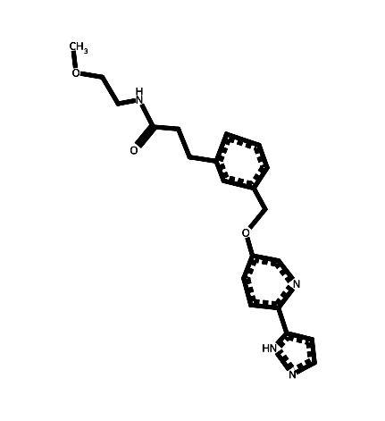 COCCNC(=O)CCc1cccc(COc2ccc(-c3ccn[nH]3)nc2)c1